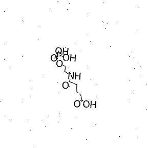 O=C(O)CCCC(=O)NCCOP(=O)(O)O